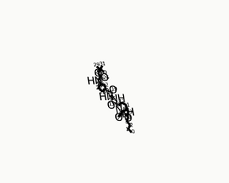 CCCCON1C(=O)N2C[C@@H]1CC[C@H]2C(=O)NNC(=O)[C@H]1CC[C@@H](NC(=O)OC(C)(C)C)C1